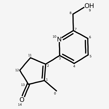 CC1=C(c2cccc(CO)n2)CCC1=O